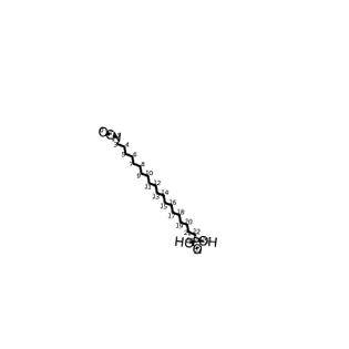 O=C=NCCCCCCCCCCCCCCCCCCCCP(=O)(O)O